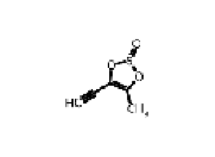 C#CC1=C(C)OS(=O)O1